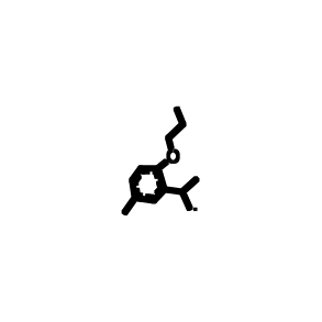 [CH2]C(C)c1cc(C)ccc1OCCC